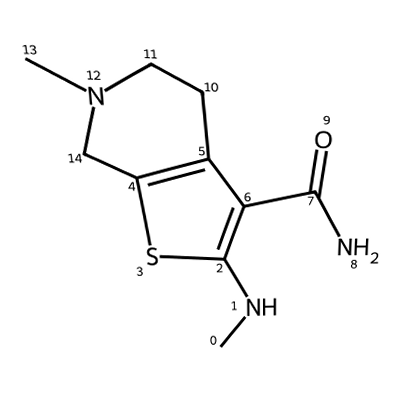 CNc1sc2c(c1C(N)=O)CCN(C)C2